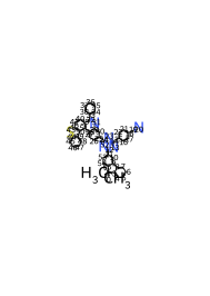 CC1(C)c2ccccc2-c2cc(-c3nc(-c4ccc(C#N)cc4)nc(-c4ccc5c(c4)nc(-c4ccccc4)c4ccc6sc7ccccc7c6c45)n3)ccc21